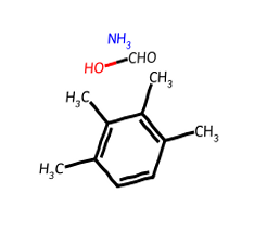 Cc1ccc(C)c(C)c1C.N.O=CO